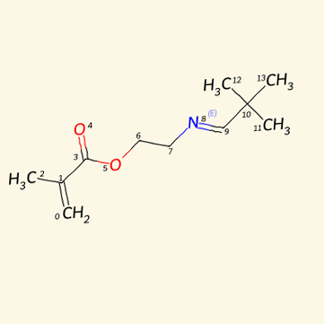 C=C(C)C(=O)OCC/N=C/C(C)(C)C